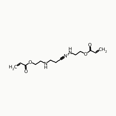 C=CC(=O)OCCNCCC#[N+]NCCOC(=O)C=C